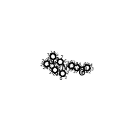 c1ccc(N(c2cccc(C3(c4ccccc4)c4ccccc4-c4ccccc43)c2)c2ccc3cc4c(cc3c2)oc2ccccc24)cc1